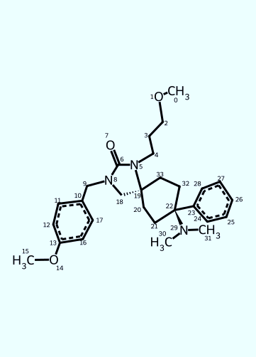 COCCCN1C(=O)N(Cc2ccc(OC)cc2)C[C@]12CC[C@](c1ccccc1)(N(C)C)CC2